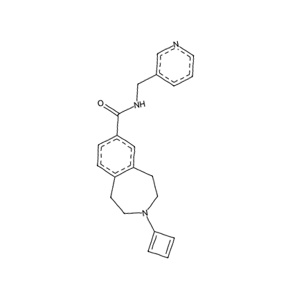 O=C(NCc1cccnc1)c1ccc2c(c1)CCN(C1=CC=C1)CC2